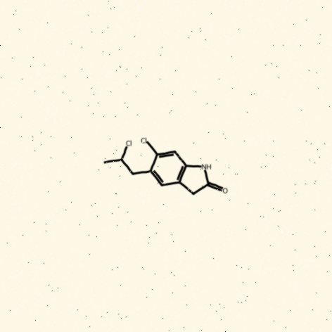 CC(Cl)Cc1cc2c(cc1Cl)NC(=O)C2